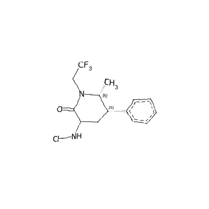 C[C@@H]1[C@H](c2ccccc2)CC(NCl)C(=O)N1CC(F)(F)F